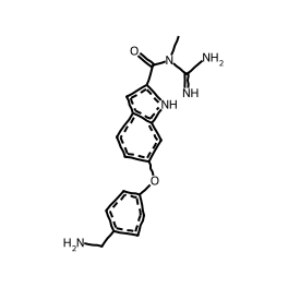 CN(C(=N)N)C(=O)c1cc2ccc(Oc3ccc(CN)cc3)cc2[nH]1